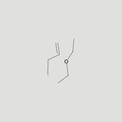 C=CCC.CCOCC